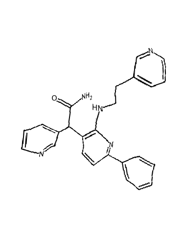 NC(=O)C(c1cccnc1)c1ccc(-c2ccccc2)nc1NCCc1cccnc1